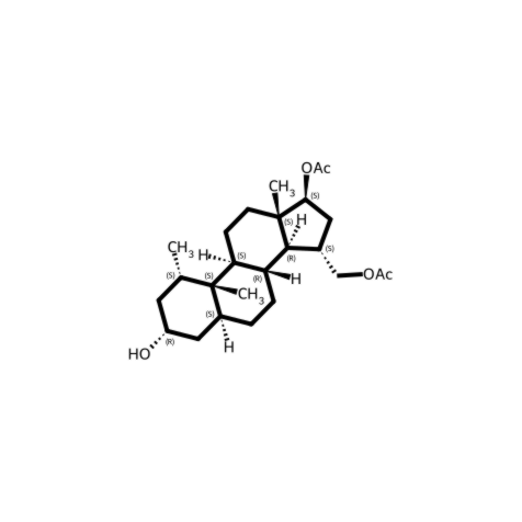 CC(=O)OC[C@H]1C[C@H](OC(C)=O)[C@@]2(C)CC[C@H]3[C@@H](CC[C@H]4C[C@H](O)C[C@H](C)[C@@]43C)[C@H]12